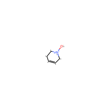 [O-][NH+]1CC=CCC1